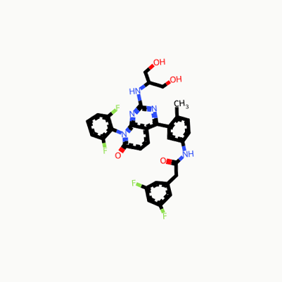 Cc1ccc(NC(=O)Cc2cc(F)cc(F)c2)cc1-c1nc(NC(CO)CO)nc2c1ccc(=O)n2-c1c(F)cccc1F